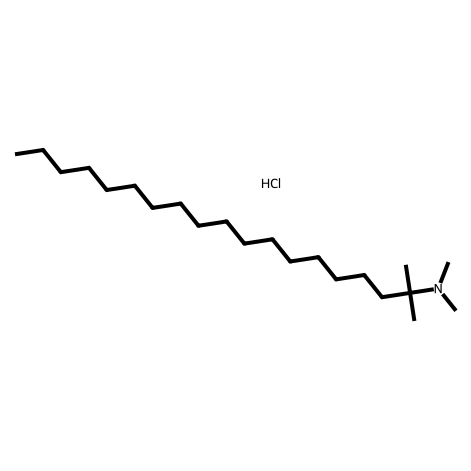 CCCCCCCCCCCCCCCCCC(C)(C)N(C)C.Cl